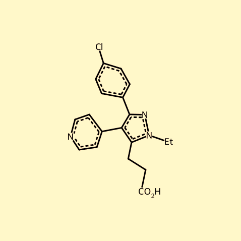 CCn1nc(-c2ccc(Cl)cc2)c(-c2ccncc2)c1CCC(=O)O